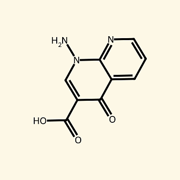 Nn1cc(C(=O)O)c(=O)c2cccnc21